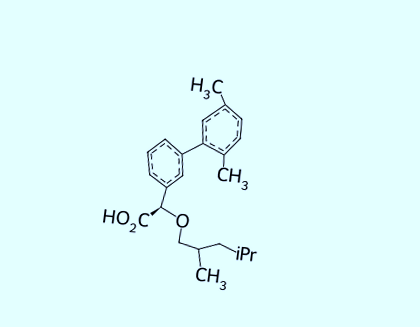 Cc1ccc(C)c(-c2cccc([C@@H](OCC(C)CC(C)C)C(=O)O)c2)c1